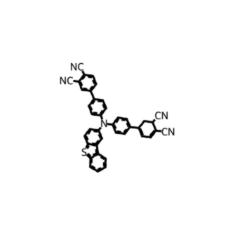 N#CC1=CC=C(c2ccc(N(c3ccc(-c4ccc(C#N)c(C#N)c4)cc3)c3ccc4sc5ccccc5c4c3)cc2)CC1C#N